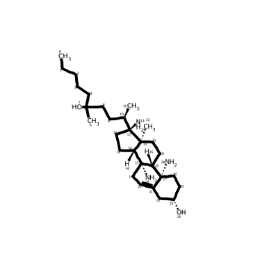 CCCCCC(C)(O)CC[C@@H](C)[C@@]1(N)CC[C@H]2[C@]3(N)CC=C4C[C@@H](O)CC[C@]4(N)[C@H]3CC[C@@]21C